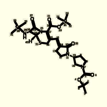 CC(C)(C)OC(=O)N1CC[C@@H](N2CC/C(=C\C3=C(C(=O)O[Si](C)(C)C)N4C(=O)[C@@H](N[Si](C)(C)C)[C@H]4SC3)C2=O)C1